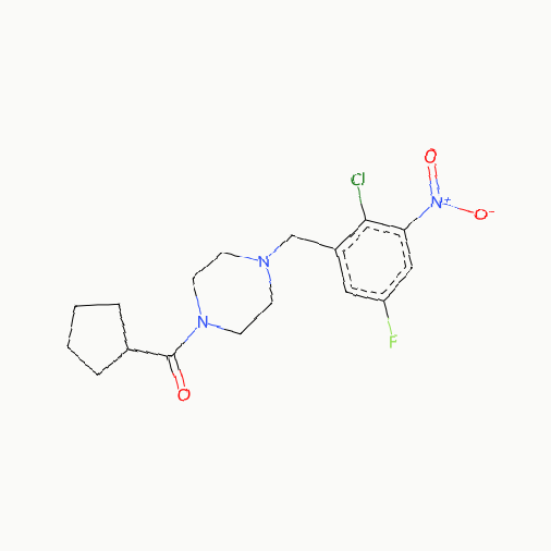 O=C(C1CCCC1)N1CCN(Cc2cc(F)cc([N+](=O)[O-])c2Cl)CC1